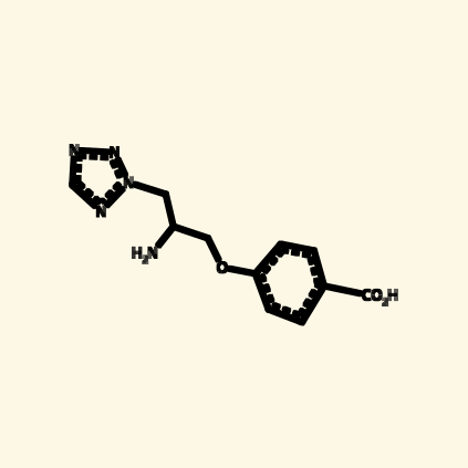 NC(COc1ccc(C(=O)O)cc1)Cn1ncnn1